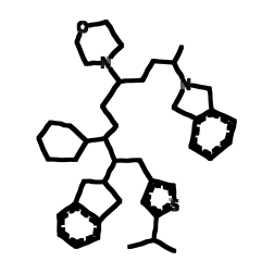 CC(C)c1cc(CC(C2Cc3ccccc3C2)C(CCC(CCC(C)N2Cc3ccccc3C2)N2CCOCC2)C2CCCCC2)cs1